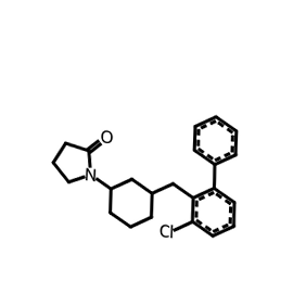 O=C1CCCN1C1CCCC(Cc2c(Cl)cccc2-c2ccccc2)C1